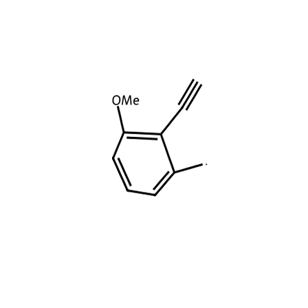 C#Cc1c([CH2])cccc1OC